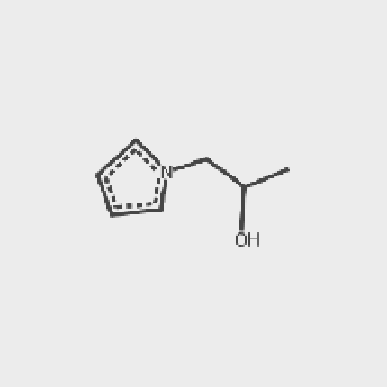 CC(O)Cn1cccc1